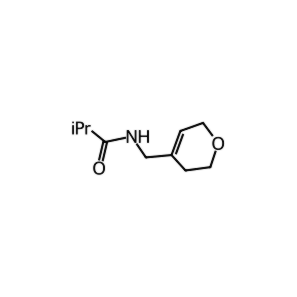 CC(C)C(=O)NCC1=CCOCC1